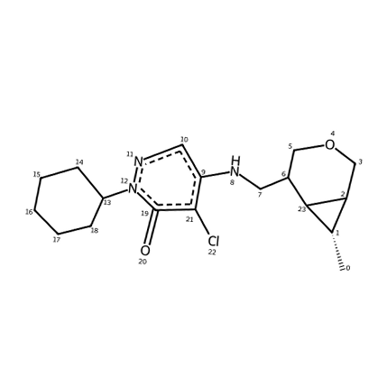 C[C@H]1C2COCC(CNc3cnn(C4CCCCC4)c(=O)c3Cl)C21